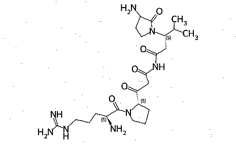 CC(C)[C@H](CC(=O)NC(=O)CC(=O)[C@@H]1CCCN1C(=O)[C@@H](N)CCCNC(=N)N)N1CCC(N)C1=O